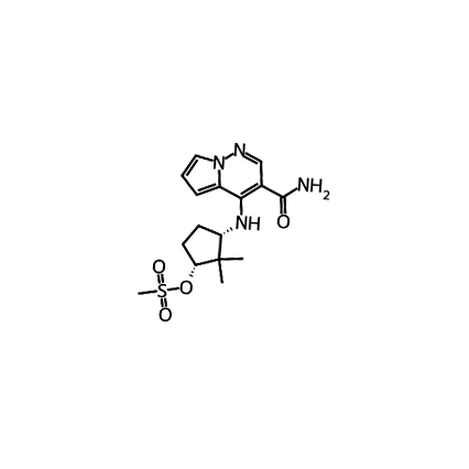 CC1(C)[C@@H](Nc2c(C(N)=O)cnn3cccc23)CC[C@H]1OS(C)(=O)=O